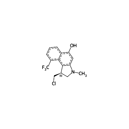 CN1C[C@@H](CCl)c2c1cc(O)c1cccc(C(F)(F)F)c21